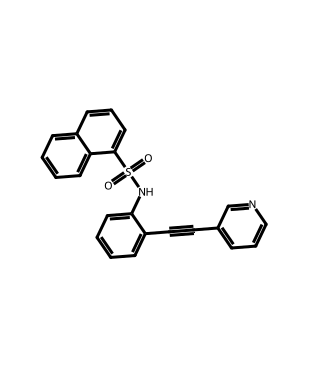 O=S(=O)(Nc1ccccc1C#Cc1cccnc1)c1cccc2ccccc12